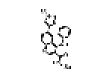 CCn1cc(-c2ccc3ncc(C(=O)NC(C)(C)C)c(Nc4ccccc4)c3c2)cn1